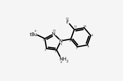 CC(C)(C)c1cc(N)n(-c2ccccc2F)n1